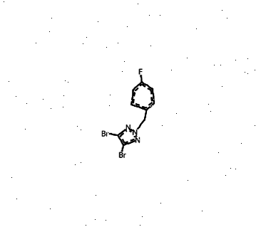 Fc1ccc(Cn2nc(Br)c(Br)n2)cc1